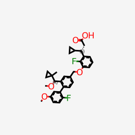 COc1ccc(F)c(-c2ccc(COc3cccc([C@@H](CC(=O)O)C4CC4)c3F)cc2[C@H](OC)C2(C)CC2)c1